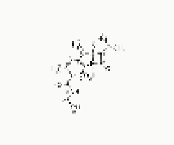 C[C@@H](O)[C@H]1C(=O)N2C(C(=O)O)=C(CN(C)CC(=O)NSO)[C@H](C)[C@H]12